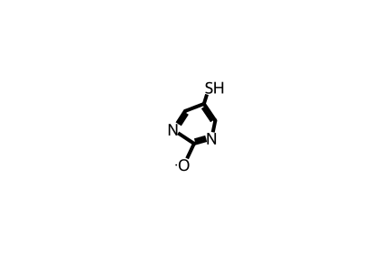 [O]c1ncc(S)cn1